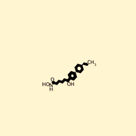 CCC[C@H]1CC[C@H](c2ccc(C(O)CCCCC(=O)NO)cc2)CC1